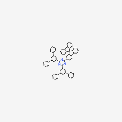 C1=CC(c2nc(-c3cc(-c4ccccc4)cc(-c4ccccc4)c3)nc(-c3cc(-c4ccccc4)cc(-c4ccccc4)c3)n2)CC2=C1c1ccccc1C21c2ccccc2-c2ccccc21